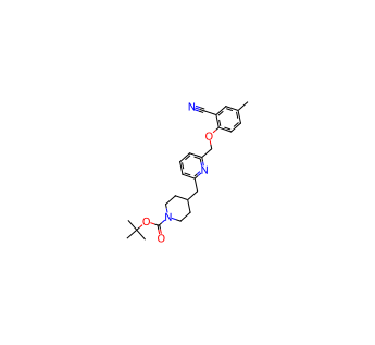 Cc1ccc(OCc2cccc(CC3CCN(C(=O)OC(C)(C)C)CC3)n2)c(C#N)c1